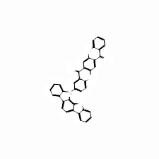 O=c1c2ccccc2oc2cc3c(=O)c4cc(-n5c6ccccc6c6ccc7c8ccccc8oc7c65)ccc4oc3cc12